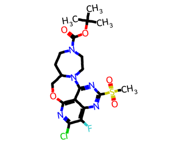 CC(C)(C)OC(=O)N1CCC2COc3nc(Cl)c(F)c4nc(S(C)(=O)=O)nc(c34)N2CC1